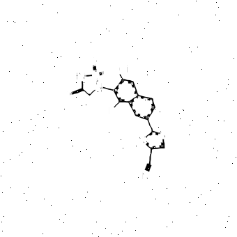 N#Cc1c[nH]c(-c2ccc3cc(O)c(N4CC(=O)NS4(=O)=O)c(F)c3c2)n1